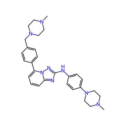 CN1CCN(Cc2ccc(-c3cccc4nc(Nc5ccc(N6CCN(C)CC6)cc5)nn34)cc2)CC1